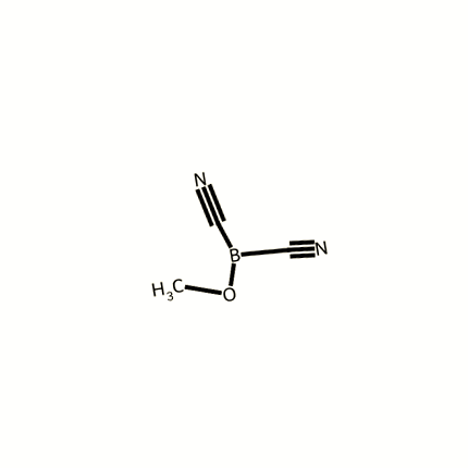 COB(C#N)C#N